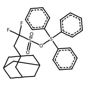 O=S(=O)(OS(c1ccccc1)(c1ccccc1)c1ccccc1)C(F)(F)CC12CC3CC(CC(C3)C1)C2